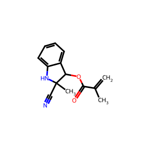 C=C(C)C(=O)OC1c2ccccc2NC1(C)C#N